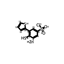 O=S(=O)(Cl)c1ccc(S)c(-c2cccs2)c1.[Zn]